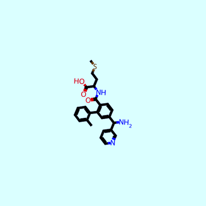 CSCCC(NC(=O)c1ccc(C(N)c2cccnc2)cc1-c1ccccc1C)C(=O)O